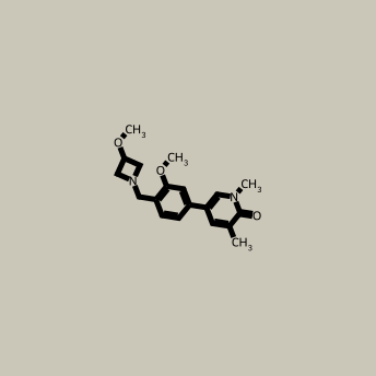 COc1cc(-c2cc(C)c(=O)n(C)c2)ccc1CN1CC(OC)C1